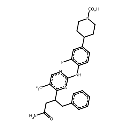 NC(=O)CC(Cc1ccccc1)c1nc(Nc2ccc(C3CCN(C(=O)O)CC3)cc2F)ncc1C(F)(F)F